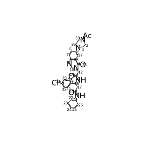 CC(=O)N1CCN(c2ccc3ncn(CC(=O)NC(CC(=O)Nc4ccccc4)c4ccc(Cl)cc4)c(=O)c3c2)CC1